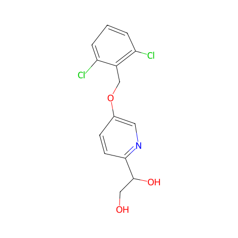 OCC(O)c1ccc(OCc2c(Cl)cccc2Cl)cn1